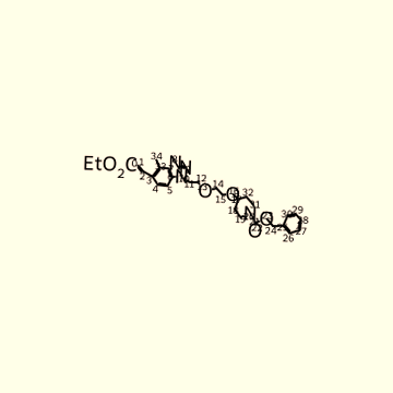 CCOC(=O)C=Cc1ccc2c(nnn2CCOCCOC2CCN(C(=O)OCc3ccccc3)CC2)c1C